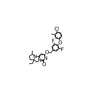 CCC12CCC(C)N1c1cc(OCc3cc(F)c(Oc4ccc(Cl)c(C)c4)c(F)c3)nc(=O)n1C2